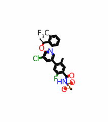 Cc1cc(C(=O)NS(C)(=O)=O)c(F)cc1-c1cnc(O[C@@H](C)c2ccccc2C(F)(F)F)c(Cl)c1